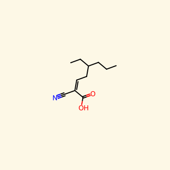 CCCC(CC)CC=C(C#N)C(=O)O